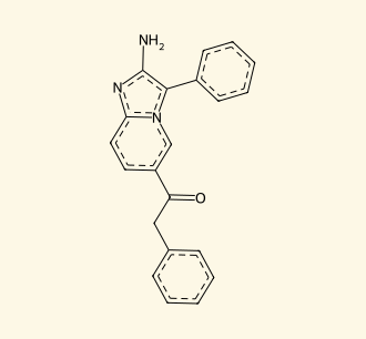 Nc1nc2ccc(C(=O)Cc3ccccc3)cn2c1-c1ccccc1